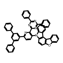 c1ccc(-c2cc(-c3ccccc3)cc(-c3ccc(-n4c5ccccc5c5c6c(ccc54)oc4ccccc46)c(-c4nc(-c5ccccc5)nc(-c5ccccc5)n4)n3)c2)cc1